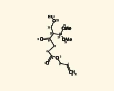 C=CCOC(=O)CCC(=O)C(COCC)P(OC)OC